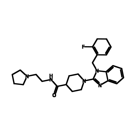 O=C(NCCN1CCCC1)C1CCN(c2nc3ccccc3n2CC2=C(F)CCC=C2)CC1